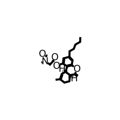 C=C1Oc2cc(CCCCC)cc(OC(=O)CN(C)C=O)c2[C@@H]2C=C(C)CC[C@@H]12